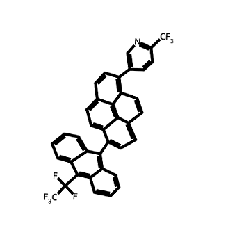 FC(F)(F)c1ccc(-c2ccc3ccc4c(-c5c6ccccc6c(C(F)(F)C(F)(F)F)c6ccccc56)ccc5ccc2c3c54)cn1